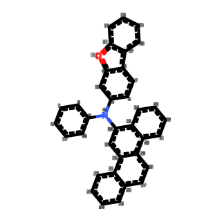 c1ccc(N(c2ccc3c(c2)oc2ccccc23)c2cc3c4ccccc4ccc3c3ccccc23)cc1